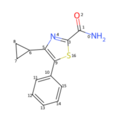 NC(=O)c1nc(C2CC2)c(-c2ccccc2)s1